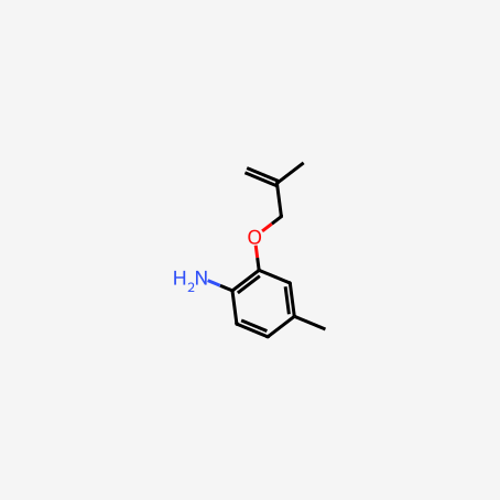 C=C(C)COc1cc(C)ccc1N